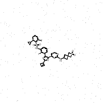 O=S1(=O)CC2(CC(Nc3nccc(-c4sc(C56CC(C5)C6)nc4-c4cccc(NS(=O)(=O)c5c(F)cccc5C5CC5)c4F)n3)C2)C1